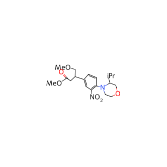 COCC(CC(=O)OC)c1ccc(N2CCOCC2C(C)C)c([N+](=O)[O-])c1